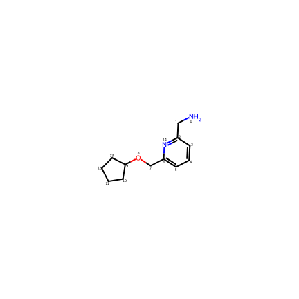 NCc1cccc(COC2CCCC2)n1